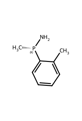 Cc1ccccc1[P@](C)N